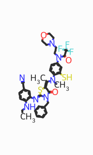 CCNc1ccc(C#N)cc1N=C1S/C(=C(\C)N(C)c2ccc(N(CCN3CCOCC3)C(=O)C(F)(F)F)cc2S)C(=O)N1Cc1ccccc1